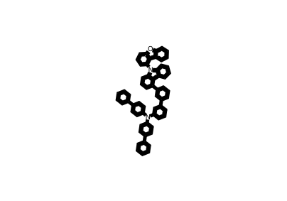 c1ccc(-c2ccc(N(c3ccc(-c4ccccc4)cc3)c3cccc(-c4cccc(-c5cccc6c5c5ccccc5n6-c5cccc6oc7ccccc7c56)c4)c3)cc2)cc1